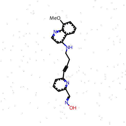 COc1cccc2c(NCCC#Cc3cccc(/C=N/O)n3)ccnc12